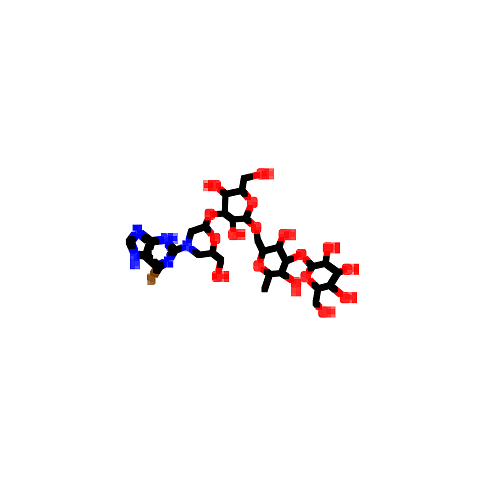 CC1OC(COC2OC(CO)C(O)C(OC3CN(c4nc(=S)c5[nH]cnc5[nH]4)CC(CO)O3)C2O)C(O)C(OC2OC(CO)C(O)C(O)C2O)C1O